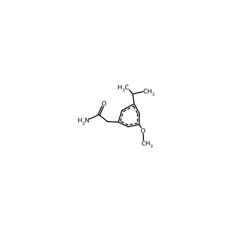 COc1cc(CC(N)=O)cc(C(C)C)c1